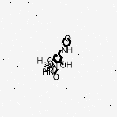 Cc1cc(CNC2CCOCC2)cc(O)c1N1CC(=O)NS1(=O)=O